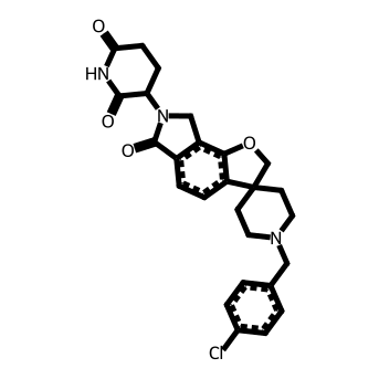 O=C1CCC(N2Cc3c(ccc4c3OCC43CCN(Cc4ccc(Cl)cc4)CC3)C2=O)C(=O)N1